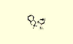 CCc1cncn1C1c2ccccc2CC1(C)C